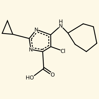 O=C(O)c1nc(C2CC2)nc(NC2CCCCC2)c1Cl